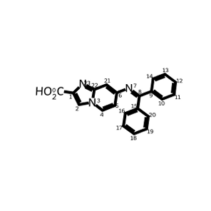 O=C(O)c1cn2ccc(N=C(c3ccccc3)c3ccccc3)cc2n1